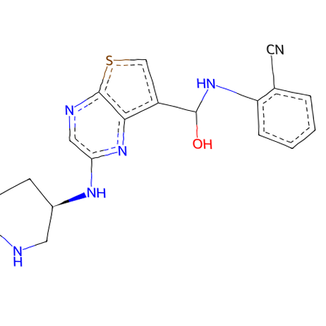 N#Cc1ccccc1NC(O)c1csc2ncc(N[C@@H]3CCCNC3)nc12